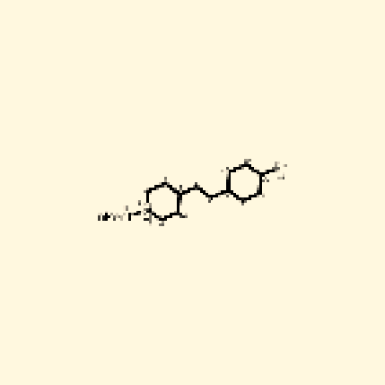 CCCCC[SiH]1CCC(CCC2CCC(Br)CC2)CC1